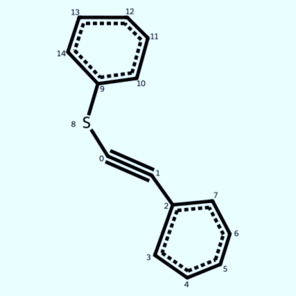 C(#Cc1ccccc1)Sc1ccccc1